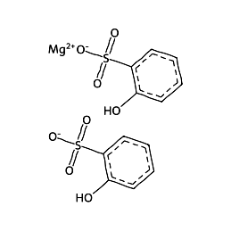 O=S(=O)([O-])c1ccccc1O.O=S(=O)([O-])c1ccccc1O.[Mg+2]